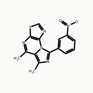 Cc1nc(-c2cccc([N+](=O)[O-])c2)n2c1c(C)nc1scnc12